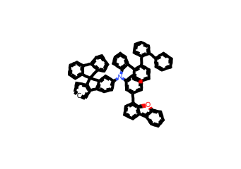 c1ccc(-c2ccccc2-c2ccccc2-c2ccccc2N(c2cccc(-c3cccc4c3oc3ccccc34)c2)c2ccc3c(c2)C2(c4ccccc4-c4ccccc42)c2ccccc2-3)cc1